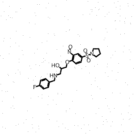 O=Nc1cc(S(=O)(=O)N2CCCC2)ccc1OCC(O)CNCc1ccc(F)cc1